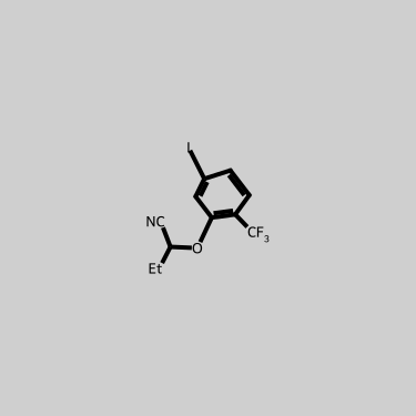 CCC(C#N)Oc1cc(I)ccc1C(F)(F)F